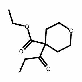 CCOC(=O)C1(C(=O)CC)CCOCC1